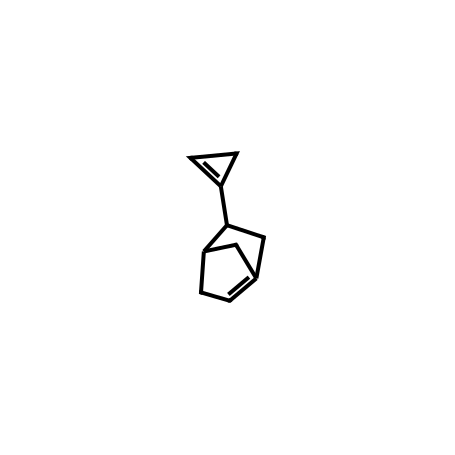 C1=C2CC(C1)C(C1=CC1)C2